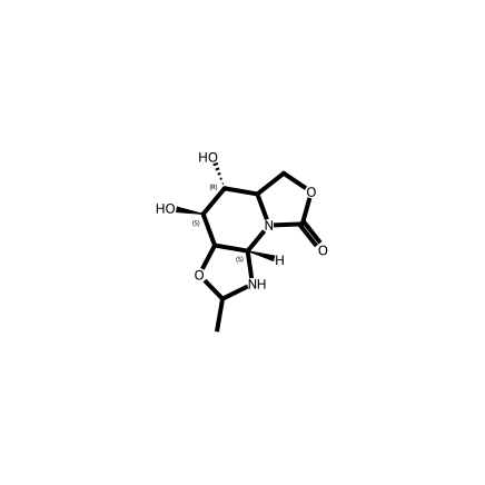 CC1N[C@@H]2C(O1)[C@@H](O)[C@H](O)C1COC(=O)N12